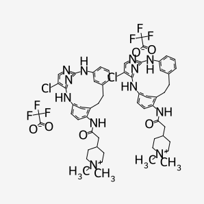 C[N+]1(C)CCC(CC(=O)Nc2ccc3cc2CCc2cccc(c2)Nc2ncc(Cl)c(n2)N3)CC1.C[N+]1(C)CCC(CC(=O)Nc2ccc3cc2CCc2cccc(c2)Nc2ncc(Cl)c(n2)N3)CC1.O=C([O-])C(F)(F)F.O=C([O-])C(F)(F)F